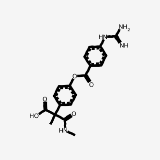 CNC(=O)C(C)(C(=O)O)c1ccc(OC(=O)c2ccc(NC(=N)N)cc2)cc1